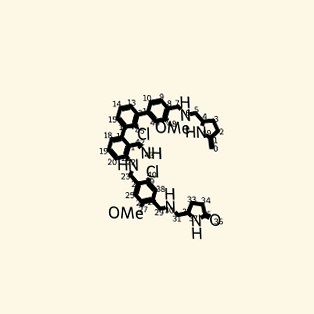 C=C1CCC(CNCc2ccc(-c3cccc(-c4cccc(NCc5cc(OC)c(CNCC6CCC(=O)N6)cc5Cl)c4C=N)c3Cl)cc2OC)N1